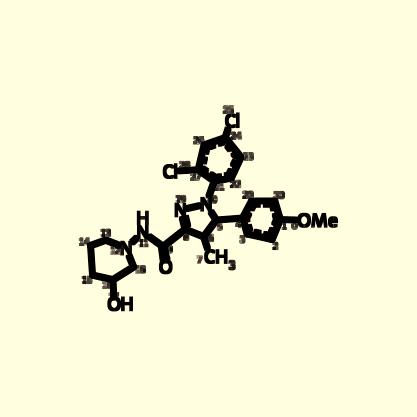 COc1ccc(C2C(C)C(C(=O)NN3CCCC(O)C3)=NN2c2ccc(Cl)cc2Cl)cc1